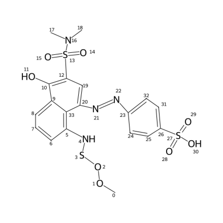 COOSNc1cccc2c(O)c(S(=O)(=O)N(C)C)cc(N=Nc3ccc(S(=O)(=O)O)cc3)c12